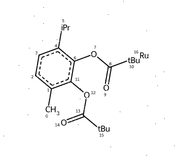 Cc1ccc(C(C)C)c(OC(=O)C(C)(C)C)c1OC(=O)C(C)(C)C.[Ru]